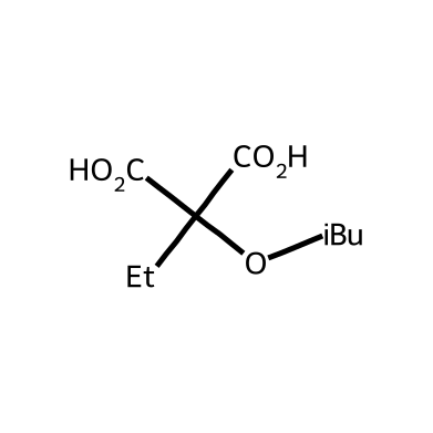 CCC(C)OC(CC)(C(=O)O)C(=O)O